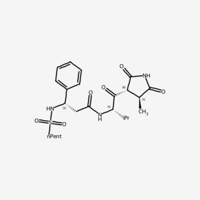 CCCCCS(=O)(=O)N[C@@H](CC(=O)N[C@H](C(=O)[C@@H]1C(=O)NC(=O)[C@H]1C)C(C)C)c1ccccc1